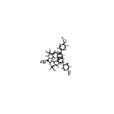 COc1ccc(-c2cccc3c2C=C(C(C)(C)C)[CH]3[Ti+2]2([CH]3C(C(C)(C)C)=Cc4c(-c5ccc(OC)cc5)cccc43)[CH2]C[CH2]2)cc1.[Cl-].[Cl-]